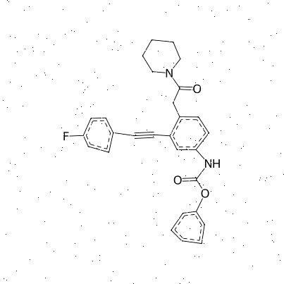 O=C(Nc1ccc(CC(=O)N2CCCCC2)c(C#Cc2ccc(F)cc2)c1)Oc1ccccc1